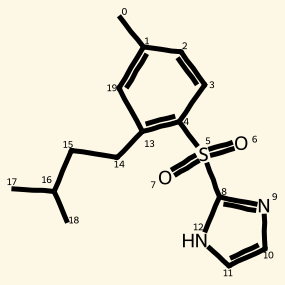 Cc1ccc(S(=O)(=O)c2ncc[nH]2)c(CCC(C)C)c1